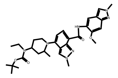 CCN(C(=O)OC(C)(C)C)C1CCN(c2ccc(C(=O)Nc3cc4cn(C)nc4cc3OC)c3nn(C)cc23)C(C)C1